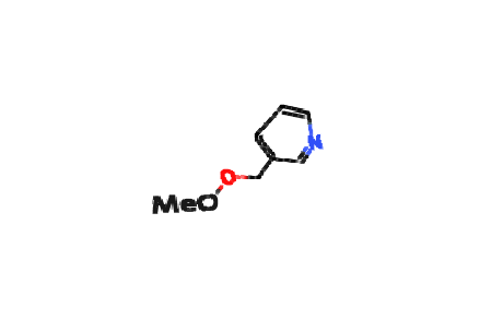 COOCc1cccnc1